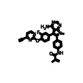 C#Cc1ccnc(Oc2ccc(-c3c(-c4ccc(NC(=O)C(=C)C)cc4)n(C)c4ncnc(N)c34)cc2F)n1